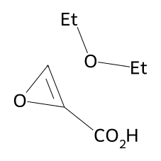 CCOCC.O=C(O)C1=CO1